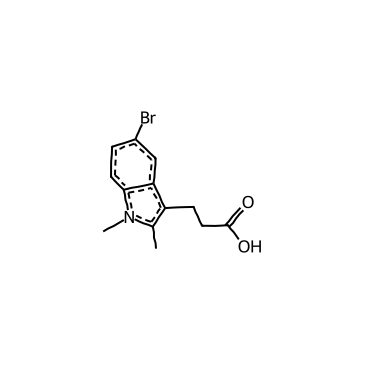 Cc1c(CCC(=O)O)c2cc(Br)ccc2n1C